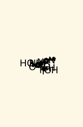 CC(C)(C)NCc1ccc(-c2nc3cc(C(=O)NO)ccc3o2)cc1.O=C(O)C(F)(F)F